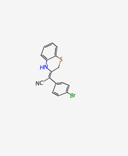 N#CC(=C1CSc2ccccc2N1)c1ccc(Br)cc1